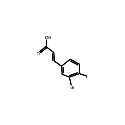 O=C(O)C=Cc1ccc(F)c(Br)c1